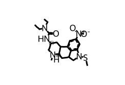 CCN(CC)C(=O)N[C@H]1CC2c3cc([N+](=O)[O-])cc4c3C(C[C@H]2N(C)C1)CN4SC